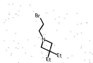 CCC1(CC)CN(CCBr)C1